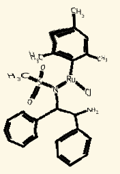 Cc1cc(C)[c]([Ru]([Cl])[N](C(c2ccccc2)C(N)c2ccccc2)S(C)(=O)=O)c(C)c1